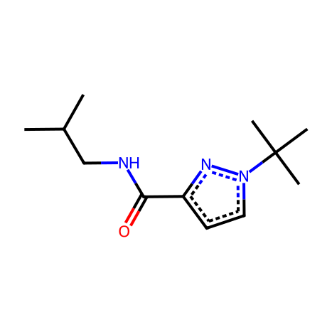 CC(C)CNC(=O)c1ccn(C(C)(C)C)n1